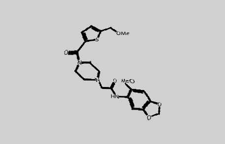 COCc1ccc(C(=O)N2CCN(CC(=O)Nc3cc4c(cc3OC)OCO4)CC2)s1